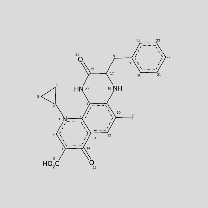 O=C(O)c1cn(C2CC2)c2c3c(c(F)cc2c1=O)NC(Cc1ccccc1)C(=O)N3